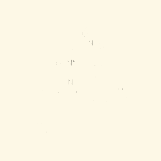 COc1ccc(CN(Cc2ccc(OC)cc2)c2cc(C)c([N+](=O)[O-])c[n+]2[O-])cc1